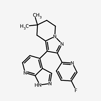 CC1(C)CCn2nc(-c3ccc(F)cn3)c(-c3ccnc4[nH]ncc34)c2C1